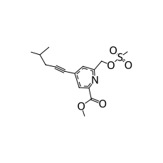 COC(=O)c1cc(C#CCC(C)C)cc(COS(C)(=O)=O)n1